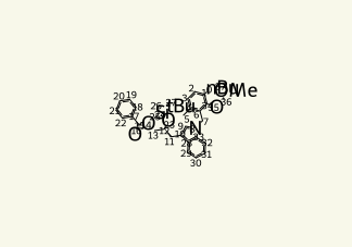 CCCCc1ccc(C)c(Cn2cc(C[C@@H](COC(=O)c3ccccc3)O[Si](C)(C)C(C)(C)C)c3ccccc32)c1OCOC